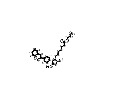 O=C(CCCCCC[C@@H]1[C@@H](c2ccc(C(O)Cc3ccccc3)cc2)[C@H](O)C[C@H]1Cl)OCCO